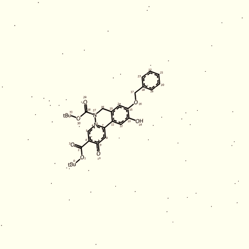 CC(C)(C)OC(=O)c1cn2c(cc1=O)-c1cc(O)c(OCc3ccccc3)cc1CN2C(=O)OC(C)(C)C